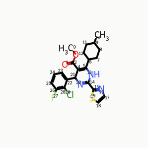 COC(=O)C1=C(C2CCC(C)CC2)NC(c2nccs2)=NC1c1cccc(F)c1Cl